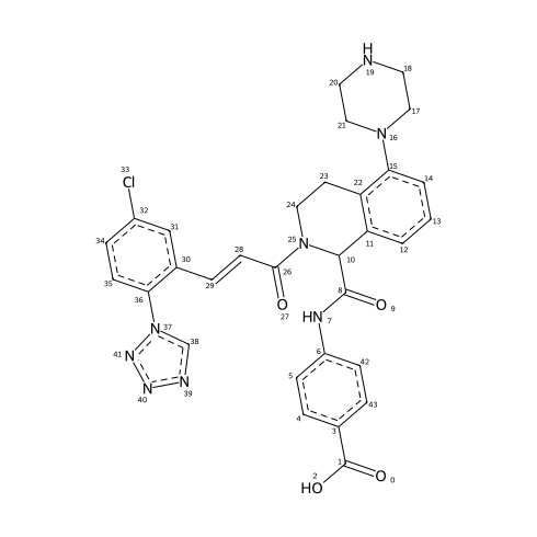 O=C(O)c1ccc(NC(=O)C2c3cccc(N4CCNCC4)c3CCN2C(=O)C=Cc2cc(Cl)ccc2-n2cnnn2)cc1